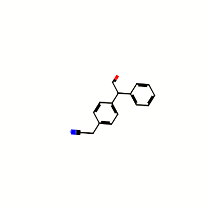 N#CCc1ccc(C(C=O)c2ccccc2)cc1